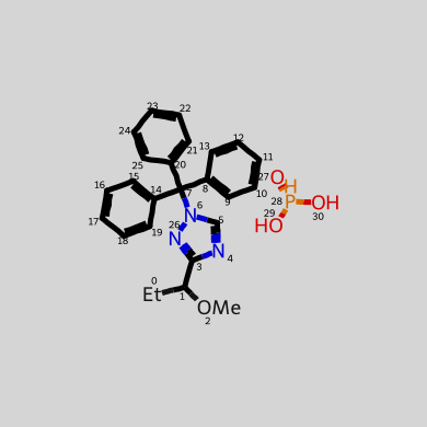 CCC(OC)c1ncn(C(c2ccccc2)(c2ccccc2)c2ccccc2)n1.O=[PH](O)O